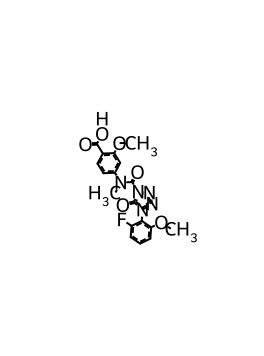 COc1cc(N(C)C(=O)n2nnn(-c3c(F)cccc3OC)c2=O)ccc1C(=O)O